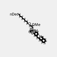 CCCCCCCCCCCCCCCCCCOCC(COP(=O)(O)Oc1cccc(Cc2cc3ccccc3cn2)c1)OC